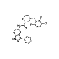 O=C(Nc1ccc2[nH]nc(-c3ccncc3)c2c1)C1CN(Cc2c(F)ccc(Cl)c2F)CCO1